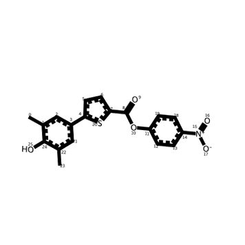 Cc1cc(-c2ccc(C(=O)Oc3ccc([N+](=O)[O-])cc3)s2)cc(C)c1O